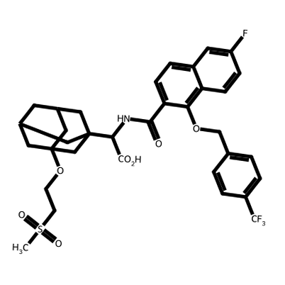 CS(=O)(=O)CCOC12CC3CC(C1)CC(C(NC(=O)c1ccc4cc(F)ccc4c1OCc1ccc(C(F)(F)F)cc1)C(=O)O)(C3)C2